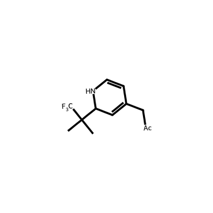 CC(=O)CC1=CC(C(C)(C)C(F)(F)F)NC=C1